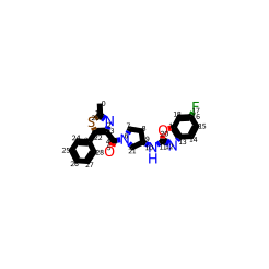 Cc1nc(C(=O)N2CCC(Nc3nc4ccc(F)cc4o3)C2)c(-c2ccccc2)s1